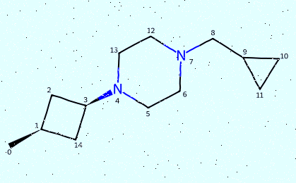 C[C@H]1C[C@@H](N2CCN(CC3CC3)CC2)C1